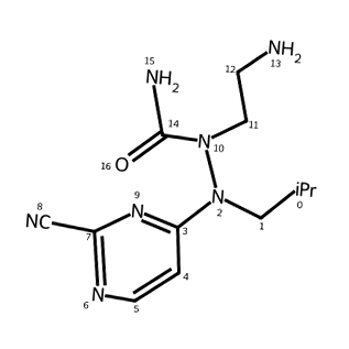 CC(C)CN(c1ccnc(C#N)n1)N(CCN)C(N)=O